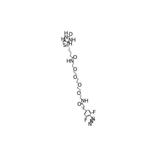 [N-]=[N+]=Nc1c(F)cc(/C=C/C(=O)NCCOCCOCCOCCOCCNC(=O)CCCC[C@@H]2SC[C@@H]3NC(=O)N[C@@H]32)cc1F